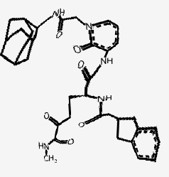 CNC(=O)C(=O)CC[C@H](NC(=O)C1Cc2ccccc2C1)C(=O)Nc1cccn(CC(=O)NC2C3CC4CC(C3)CC2C4)c1=O